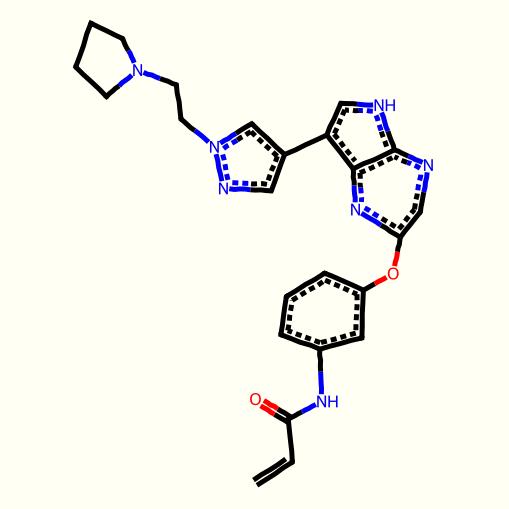 C=CC(=O)Nc1cccc(Oc2cnc3[nH]cc(-c4cnn(CCN5CCCC5)c4)c3n2)c1